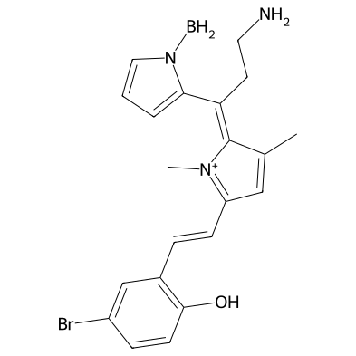 Bn1cccc1/C(CCN)=C1/C(C)=CC(/C=C/c2cc(Br)ccc2O)=[N+]1C